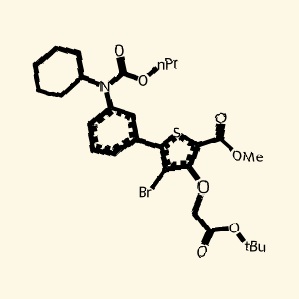 CCCOC(=O)N(c1cccc(-c2sc(C(=O)OC)c(OCC(=O)OC(C)(C)C)c2Br)c1)C1CCCCC1